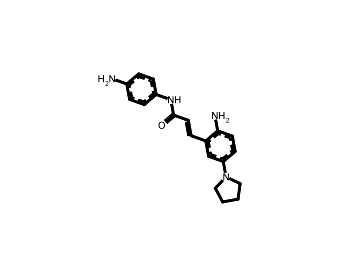 Nc1ccc(NC(=O)C=Cc2cc(N3CCCC3)ccc2N)cc1